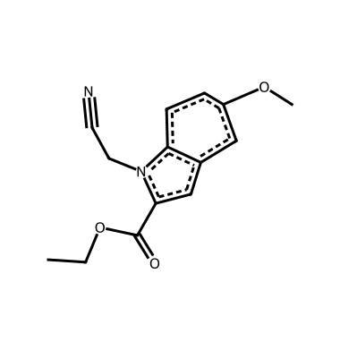 CCOC(=O)c1cc2cc(OC)ccc2n1CC#N